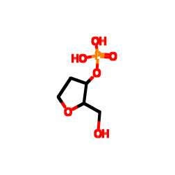 O=P(O)(O)OC1CCOC1CO